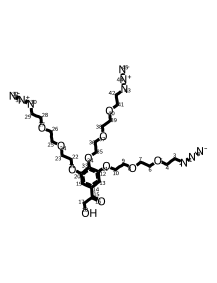 [N-]=[N+]=NCCOCCOCCOc1cc(C(=O)CO)cc(OCCOCCOCCN=[N+]=[N-])c1OCCOCCOCCN=[N+]=[N-]